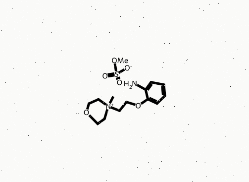 COS(=O)(=O)[O-].C[N+]1(CCOc2ccccc2N)CCOCC1